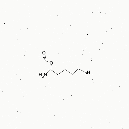 NC(CCCCS)OC=O